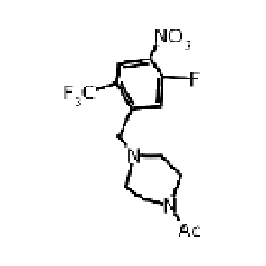 CC(=O)N1CCN(Cc2cc(F)c([N+](=O)[O-])cc2C(F)(F)F)CC1